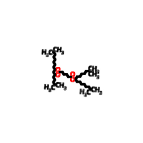 CC(C)CCCCCCC(CCCCCC(C)C)OC(=O)CCCCC(=O)OC(CCCCCCC(C)C)CCCCCC(C)C